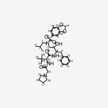 CC(C)CN(C[C@@H](O)C(Cc1ccccc1)NC(=O)[C@@H](NC(=O)CN1CCCC1)C(C)(C)C)S(=O)(=O)c1ccc2c(c1)OCO2